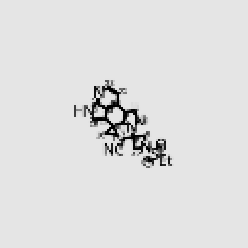 CCS(=O)(=O)N1CC(CC#N)(n2ncc3c2C2(CC2)c2c[nH]c4nccc-3c24)C1